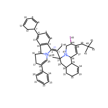 C/C(=C1\c2ccc(C3C=CC=CC3)cc2C2CCC(c3ccccc3)=CN12)C1(C)CC2CCC=CC2C2C=C(CC(C)(C)C)C(I)CN21